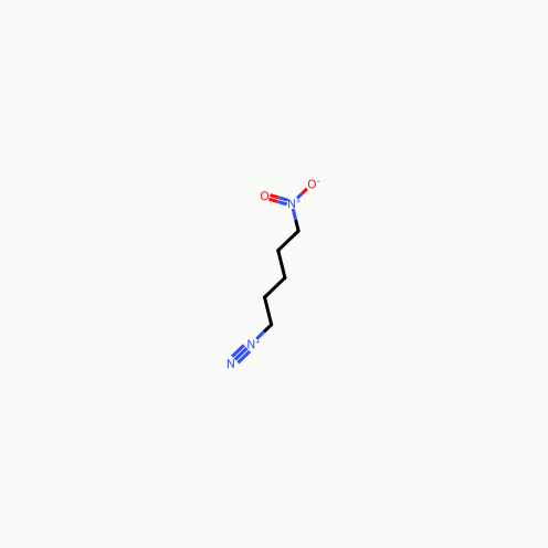 N#[N+]CCCCC[N+](=O)[O-]